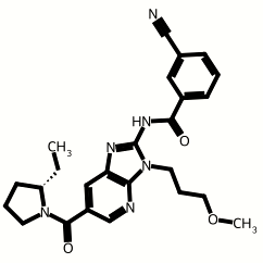 CC[C@H]1CCCN1C(=O)c1cnc2c(c1)nc(NC(=O)c1cccc(C#N)c1)n2CCCOC